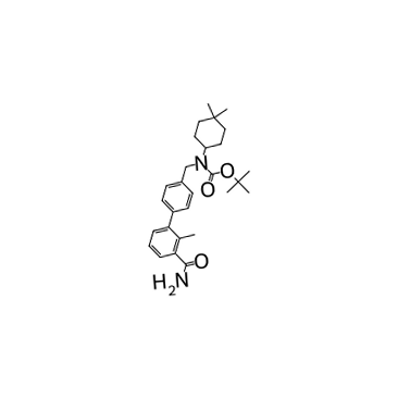 Cc1c(C(N)=O)cccc1-c1ccc(CN(C(=O)OC(C)(C)C)C2CCC(C)(C)CC2)cc1